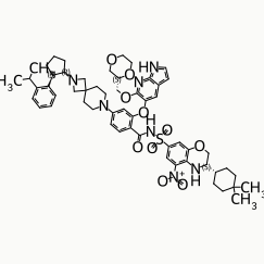 CC(C)c1ccccc1[C@H]1CCC[C@H]1N1CC2(CCN(c3ccc(C(=O)NS(=O)(=O)c4cc5c(c([N+](=O)[O-])c4)N[C@@H](C4CCC(C)(C)CC4)CO5)c(Oc4cc5cc[nH]c5nc4OC[C@@H]4COCCO4)c3)CC2)C1